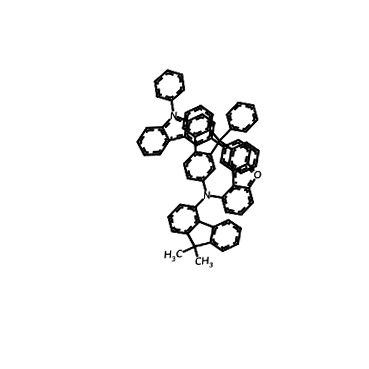 CC1(C)c2ccccc2-c2c(N(c3ccc4c(c3)C(c3ccccc3)(c3ccccc3)c3ccccc3-4)c3cccc4oc5ccc(-c6ccc7c(c6)c6ccccc6n7-c6ccccc6)cc5c34)cccc21